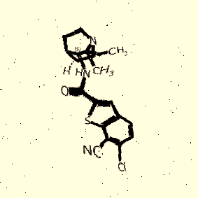 CC1(C)[C@@H](NC(=O)c2cc3ccc(Cl)c(C#N)c3s2)C2CCN1CC2